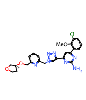 COc1c(Cl)cccc1-c1cc(-c2cn(Cc3cccc(CO[C@H]4CCOC4)n3)nn2)nc(N)n1